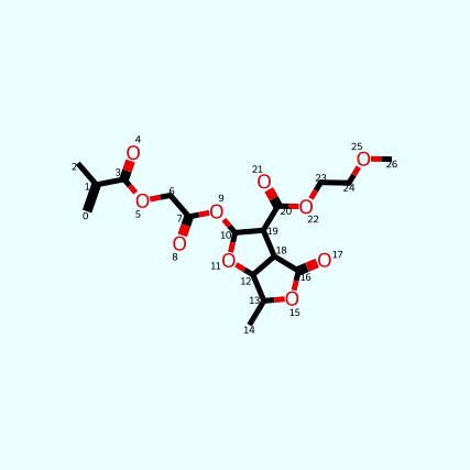 C=C(C)C(=O)OCC(=O)OC1OC2C(C)OC(=O)C2C1C(=O)OCCOC